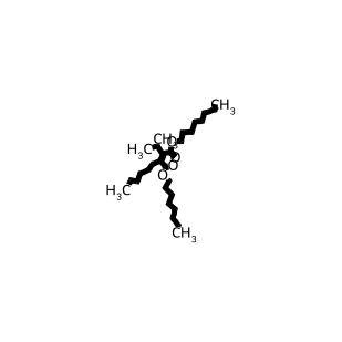 CCCCCCCCOC(=O)/C(CCCCCC)=C(\C(=O)OCCCCCCCC)C(C)C